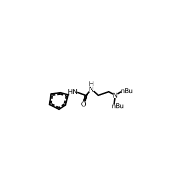 CCCCN(CCCC)CCNC(=O)Nc1ccccc1